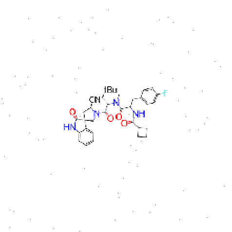 CN(C(=O)C(Cc1ccc(F)cc1)NC(=O)C1CCC1)[C@@H](CC(C)(C)C)C(=O)N1C[C@]2(C[C@H]1C#N)C(=O)Nc1ccccc12